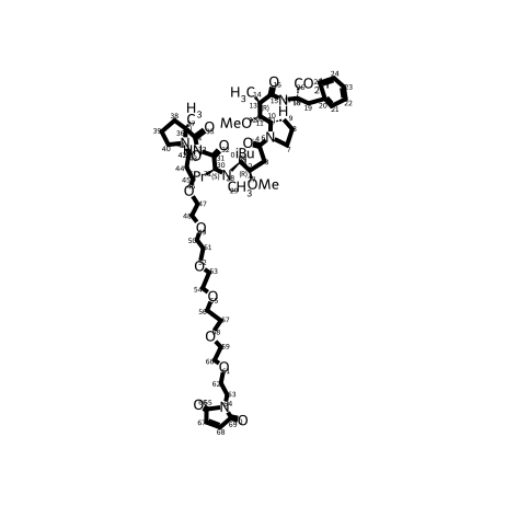 CC[C@H](C)[C@@H]([C@@H](CC(=O)N1CCC[C@H]1[C@H](OC)[C@@H](C)C(=O)N[C@@H](Cc1ccccc1)C(=O)O)OC)N(C)[C@H](C(=O)NC(=O)[C@]1(C)CCCN1C(=O)CCOCCOCCOCCOCCOCCOCCN1C(=O)C=CC1=O)C(C)C